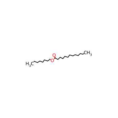 CCCCCCC[CH]OC(=O)CCCCCCCCCCCC